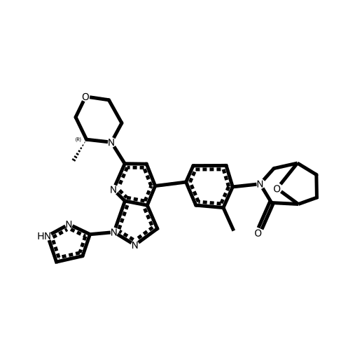 Cc1cc(-c2cc(N3CCOC[C@H]3C)nc3c2cnn3-c2cc[nH]n2)ccc1N1CC2CCC(O2)C1=O